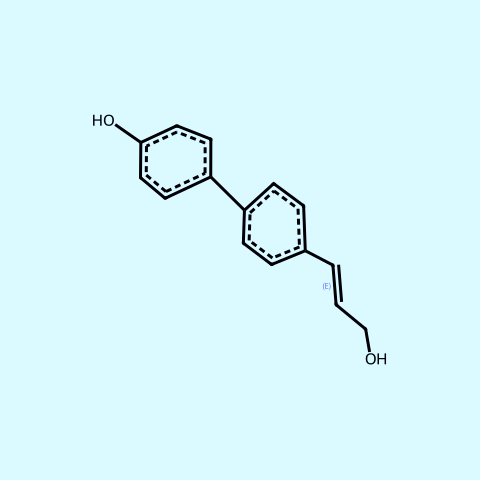 OC/C=C/c1ccc(-c2ccc(O)cc2)cc1